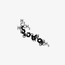 CC(C)Nc1ccc(C(=O)N2CCC(Oc3ccnc4c3cnn4-c3ccc(S(C)(=O)=O)cc3)CC2)cn1